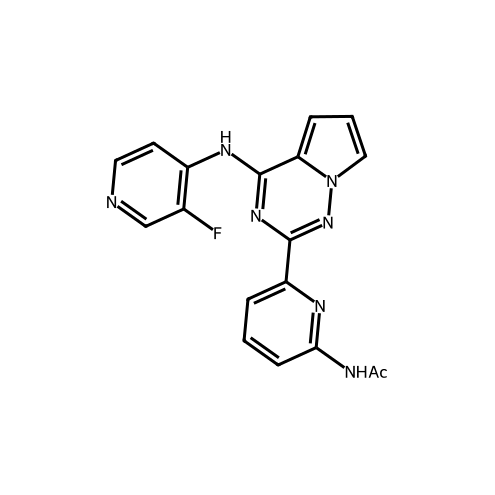 CC(=O)Nc1cccc(-c2nc(Nc3ccncc3F)c3cccn3n2)n1